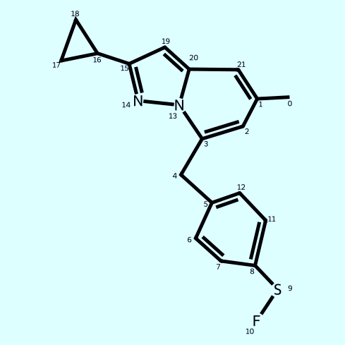 Cc1cc(Cc2ccc(SF)cc2)n2nc(C3CC3)cc2c1